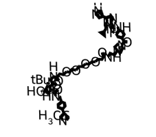 Cc1ncsc1-c1ccc(CNC(=O)[C@@H]2C[C@@H](O)CN2C(=O)[C@@H](NC(=O)CCOCCOCCOCCOCCC(=O)NCCN2CCN(C(=O)c3ccc(Nc4nc(C5CC5)cn5c(-c6cn[nH]c6)cnc45)c(F)c3)CC2)C(C)(C)C)cc1